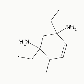 CCC1(N)C=CC(C)C(N)(CC)C1